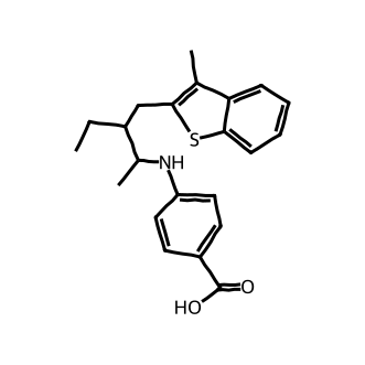 CCC(Cc1sc2ccccc2c1C)C(C)Nc1ccc(C(=O)O)cc1